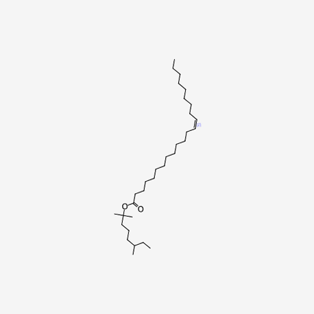 CCCCCCCC/C=C\CCCCCCCCCCCC(=O)OC(C)(C)CCCC(C)CC